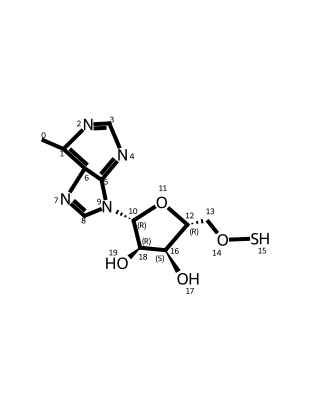 Cc1ncnc2c1ncn2[C@@H]1O[C@H](COS)[C@@H](O)[C@H]1O